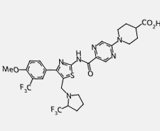 COc1ccc(-c2nc(NC(=O)c3cnc(N4CCC(C(=O)O)CC4)cn3)sc2CN2CCCC2C(F)(F)F)cc1C(F)(F)F